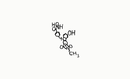 CCCN1CC(=O)N2Cc3c(c4cc(O)ccc4n3Cc3ccc(C(=O)NO)cc3)CC2C1=O